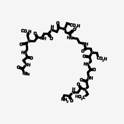 CCCCC(=O)NCC(=O)NCC(=O)N(CC(=O)O)CC(=O)NCC(=O)NCC(=O)N(CC(=O)O)CC(=O)NCCNC(=O)CN(CC(=O)O)C(=O)CNC(=O)CNC(=O)CN(CC(=O)O)C(=O)CNC(=O)CN